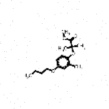 CCCCOc1ccc(OC(C)(C)C(=O)OC)c(C)c1